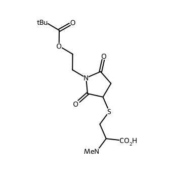 CNC(CSC1CC(=O)N(CCOC(=O)C(C)(C)C)C1=O)C(=O)O